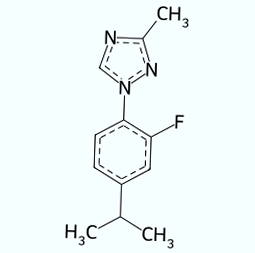 Cc1ncn(-c2ccc(C(C)C)cc2F)n1